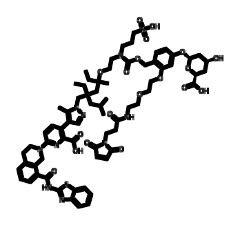 CCC(CC(C)C)(Cn1ncc(-c2ccc(N3CCc4cccc(C(=O)Nc5nc6ccccc6s5)c4C3)nc2C(=O)O)c1C)CC(C)(CC)OCCN(CCCS(=O)(=O)O)C(=O)OCc1ccc(O[C@H]2C[C@@H](O)C[C@@H](C(=O)O)O2)cc1OCCOCCNC(=O)CCN1C(=O)C=CC1=O